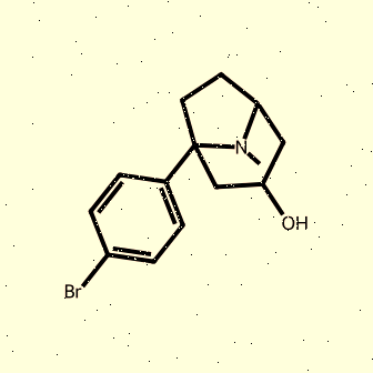 CN1C2CCC1(c1ccc(Br)cc1)CC(O)C2